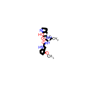 COc1cccc2[nH]c(C(=O)N[C@@H](CC(C)C)C(=O)N[C@@H](Cc3cccnc3)C(=O)O)cc12